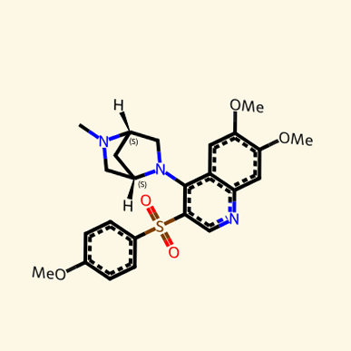 COc1ccc(S(=O)(=O)c2cnc3cc(OC)c(OC)cc3c2N2C[C@@H]3C[C@H]2CN3C)cc1